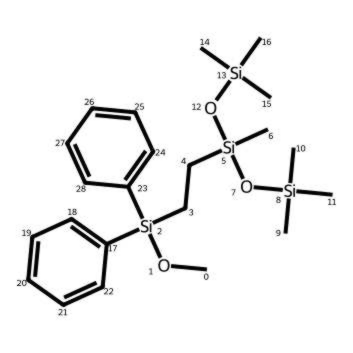 CO[Si](CC[Si](C)(O[Si](C)(C)C)O[Si](C)(C)C)(c1ccccc1)c1ccccc1